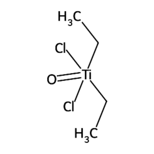 C[CH2][Ti](=[O])([Cl])([Cl])[CH2]C